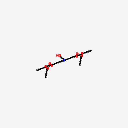 CCCCCCCCOC(CCC(=O)OCCCCCCCCCCN(CCCCO)CCCCCCCCCCOC(=O)CCC(OCCCCCCCC)OCCCCCCCC)OCCCCCCCC